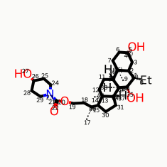 CC[C@@H]1C2C[C@H](O)CC[C@]2(C)[C@H]2CC[C@]3(C)C([C@H](C)CCOC(=O)N4CCC(O)CC4)CC[C@H]3[C@@H]2[C@@H]1O